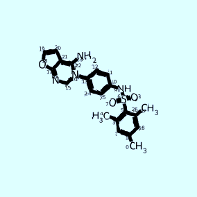 Cc1cc(C)c(S(=O)(=O)Nc2ccc(N3CN=c4occc4=C3N)cc2)c(C)c1